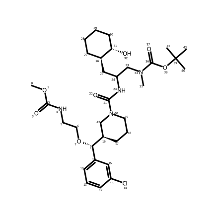 COC(=O)NCCO[C@@H](c1cccc(Cl)c1)[C@@H]1CCCN(C(=O)NC(C[C@H]2CCCC[C@@H]2O)CN(C)C(=O)OC(C)(C)C)C1